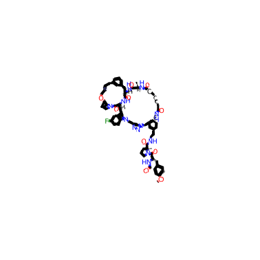 COc1ccc(C[C@H](NC=O)C(=O)N2CCC[C@@]2(C)C(=O)NCCc2ccc3c(c2)Cn2cc(nn2)Cn2cc(c4cc(F)ccc42)C[C@@H]2NC(=O)[C@H](Cc4cccc(c4)C/C=C/COC4CCN(C2=O)C4C)NC(=O)[C@@H](C)NC(=O)CCCCCC(=O)NC3)cc1